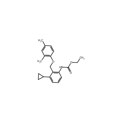 CCOC(=O)Nc1cccc(C2CC2)c1COc1ccc(C)cc1C